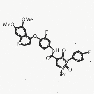 COc1cc2nccc(Oc3ccc(NC(=O)c4cn(C(C)C)c(=O)n(-c5ccc(F)cc5)c4=O)cc3F)c2cc1OC